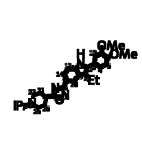 CCc1c(-c2ccc(OC)c(OC)c2)[nH]c2ccc(-c3noc(C4CCN(C(C)C)CC4)n3)cc12